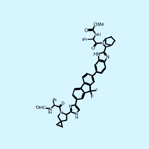 COC(=O)NC(C(=O)N1C2CCC(C2)C1c1nc2ccc(-c3ccc4c(c3)C(F)(F)c3cc(-c5c[nH]c(C6CC7(CC7)CN6C(=O)C(NC=O)C(C)C)n5)ccc3-4)cc2[nH]1)C(C)C